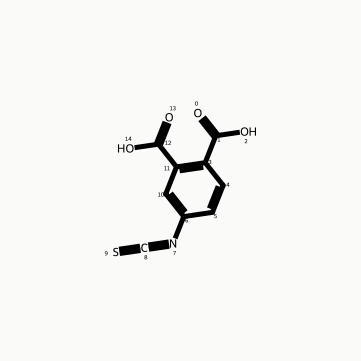 O=C(O)c1ccc(N=C=S)cc1C(=O)O